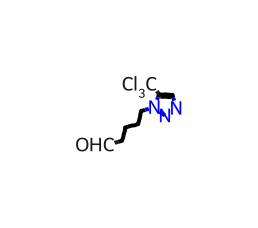 O=CCCCCn1nncc1C(Cl)(Cl)Cl